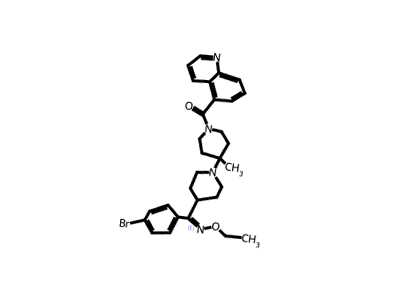 CCO/N=C(/c1ccc(Br)cc1)C1CCN(C2(C)CCN(C(=O)c3cccc4ncccc34)CC2)CC1